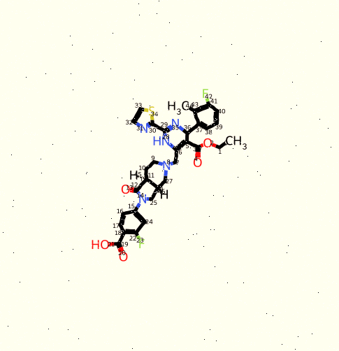 CCOC(=O)C1=C(CN2CC[C@@H]3C(=O)N(c4ccc(C(=O)O)c(F)c4)C[C@@H]3C2)NC(c2nccs2)=NC1c1cccc(F)c1C